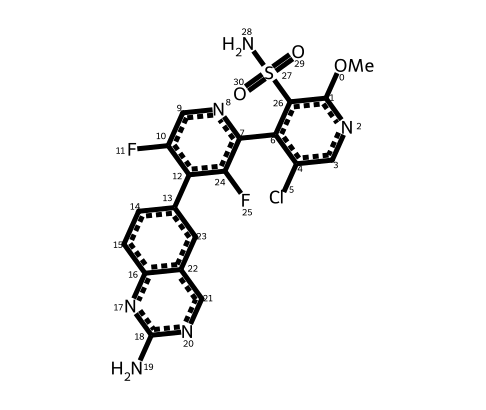 COc1ncc(Cl)c(-c2ncc(F)c(-c3ccc4nc(N)ncc4c3)c2F)c1S(N)(=O)=O